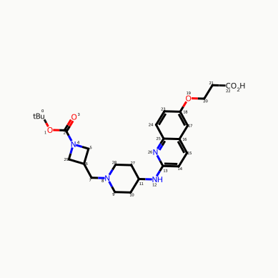 CC(C)(C)OC(=O)N1CC(CN2CCC(Nc3ccc4cc(OCCC(=O)O)ccc4n3)CC2)C1